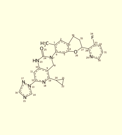 Cc1cc2c(cc1N1Cc3c(cc(-n4cncn4)nc3C3CC3)NC1=O)OC(c1ncccc1F)CC2